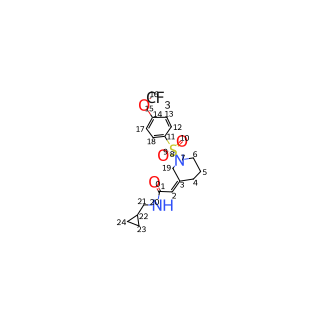 O=C(C=C1CCCN(S(=O)(=O)c2ccc(OC(F)(F)F)cc2)C1)NCC1CC1